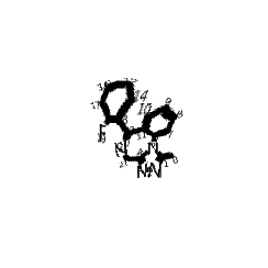 Cc1nnc2n1-c1ccccc1C(c1ccccc1F)=NC2